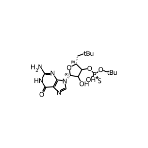 CC(C)(C)C[C@H]1O[C@@H](n2cnc3c(=O)[nH]c(N)nc32)C(O)C1OP(O)(=S)OC(C)(C)C